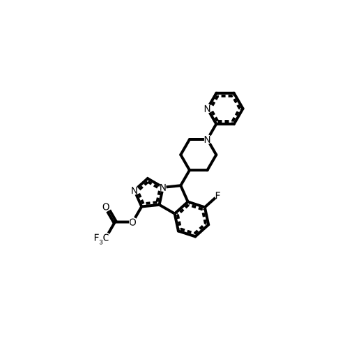 O=C(Oc1ncn2c1-c1cccc(F)c1C2C1CCN(c2ccccn2)CC1)C(F)(F)F